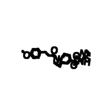 COc1ccc(CCC(=O)n2ccc3cc(S(=O)(=O)Nc4nccs4)ccc32)cc1